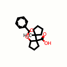 CC1(C2(C(=O)O)CCCC2OC(=O)c2ccccc2)CCCC1